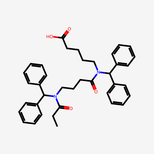 CCC(=O)N(CCCC(=O)N(CCCCC(=O)O)C(c1ccccc1)c1ccccc1)C(c1ccccc1)c1ccccc1